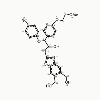 COCCOc1ccc(C(Oc2ccc(C#N)cc2)C(=O)Nc2nc3cc(CO)c(CO)cc3o2)cc1